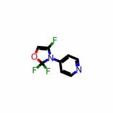 FC1=COC(F)(F)N1c1ccncc1